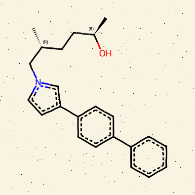 C[C@H](C[CH][C@@H](C)O)Cn1ccc(-c2ccc(-c3ccccc3)cc2)c1